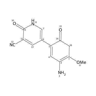 COC1=C(N)C=C(c2c[nH]c(=O)c(C#N)c2)C(=O)C1